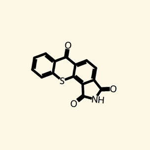 O=C1NC(=O)c2c1ccc1c(=O)c3ccccc3sc21